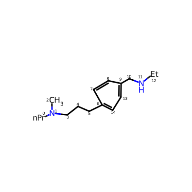 CCCN(C)CCCc1ccc(CNCC)cc1